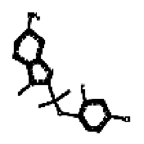 Cn1c(C(C)(C)Oc2ccc(Cl)cc2F)nc2cc(N)ccc21